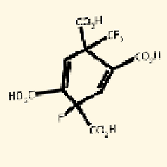 O=C(O)C1=CC(C(=O)O)(C(F)(F)F)C(C(=O)O)=CC1(F)C(=O)O